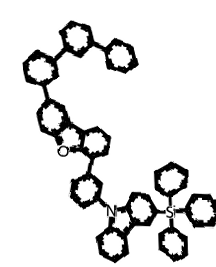 c1ccc(-c2cccc(-c3cccc(-c4ccc5oc6c(-c7cccc(-n8c9ccccc9c9cc([Si](c%10ccccc%10)(c%10ccccc%10)c%10ccccc%10)ccc98)c7)cccc6c5c4)c3)c2)cc1